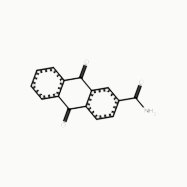 NC(=O)c1ccc2c(c1)C(=O)c1ccccc1C2=O